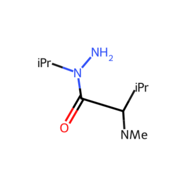 CNC(C(=O)N(N)C(C)C)C(C)C